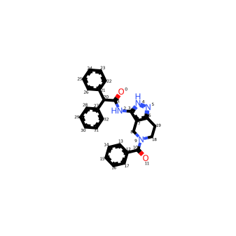 O=C(Nc1[nH]nc2c1CN(C(=O)c1ccccc1)CC2)C(c1ccccc1)c1ccccc1